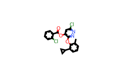 Cc1cccc(C2CC2)c1Oc1nnc(Cl)cc1OC(=O)c1ccccc1Cl